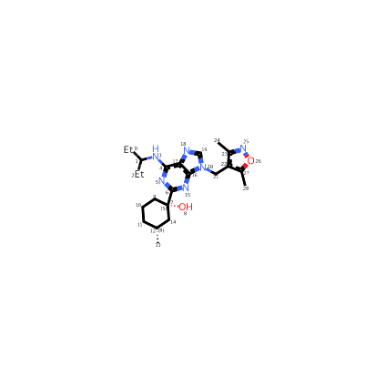 CCC(CC)Nc1nc([C@]2(O)CCC[C@@H](C)C2)nc2c1ncn2Cc1c(C)noc1C